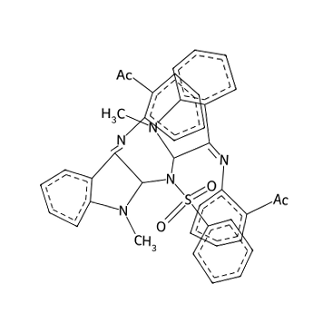 CC(=O)c1ccccc1/N=C1/c2ccccc2N(C)C1N(C1/C(=N\c2ccccc2C(C)=O)c2ccccc2N1C)S(=O)(=O)c1ccccc1